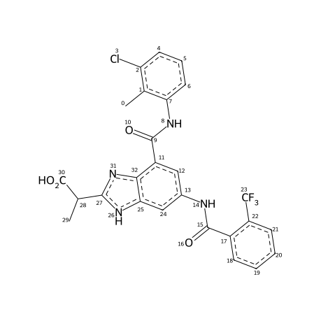 Cc1c(Cl)cccc1NC(=O)c1cc(NC(=O)c2ccccc2C(F)(F)F)cc2[nH]c(C(C)C(=O)O)nc12